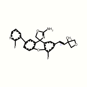 CC1(/C=C/c2cc(F)c3c(c2)C2(COC(N)=N2)c2cc(-c4cccnc4F)ccc2O3)COC1